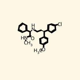 CNC(=O)[C@H](NCC[C@@H](c1ccc(Cl)cc1)c1ccc(OC)cc1)c1ccccc1